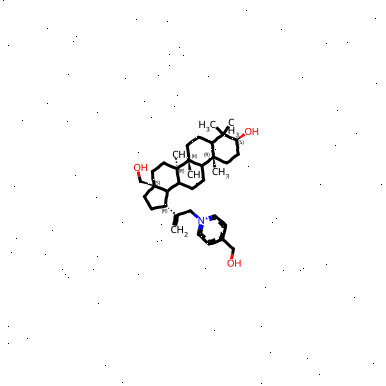 C=C(C[n+]1ccc(CO)cc1)[C@@H]1CC[C@]2(CO)CC[C@]3(C)C(CCC4[C@@]5(C)CC[C@H](O)C(C)(C)C5CC[C@]43C)C12